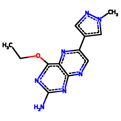 CCOc1nc(N)nc2ncc(-c3cnn(C)c3)nc12